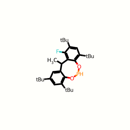 CC1c2cc(C(C)(C)C)cc(C(C)(C)C)c2OPOc2c(C(C)(C)C)cc(C(C)(C)C)c(F)c21